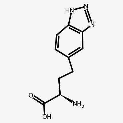 N[C@H](CCc1ccc2[nH]nnc2c1)C(=O)O